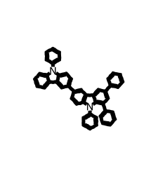 c1ccc(-c2cc(-c3ccccc3)c3c(c2)c2cc(-c4ccc5c(c4)c4ccccc4n5-c4ccccc4)ccc2n3-c2ccccc2)cc1